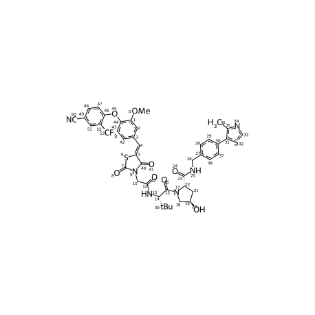 COc1cc(/C=C2\SC(=O)N(CC(=O)N[C@H](C(=O)N3C[C@H](O)C[C@H]3C(=O)NCc3ccc(-c4scnc4C)cc3)C(C)(C)C)C2=O)ccc1Oc1ccc(C#N)cc1C(F)(F)F